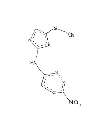 N#CSc1cnc(Nc2ccc([N+](=O)[O-])cn2)s1